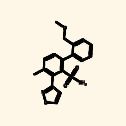 COCc1ccccc1-c1ccc(C)c(-c2ccon2)c1S(N)(=O)=O